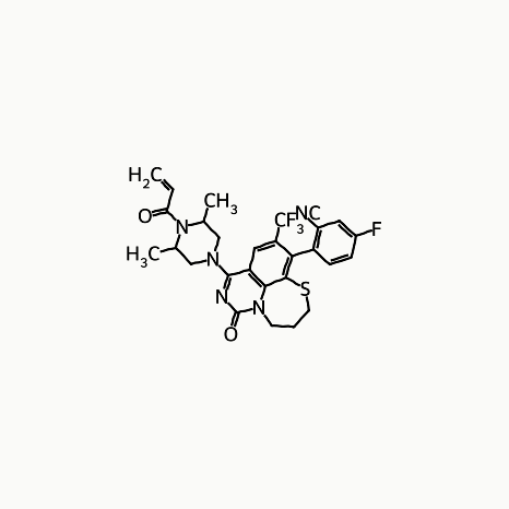 C=CC(=O)N1C(C)CN(c2nc(=O)n3c4c(c(-c5ccc(F)cc5C#N)c(C(F)(F)F)cc24)SCCC3)CC1C